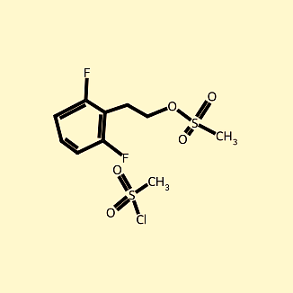 CS(=O)(=O)Cl.CS(=O)(=O)OCCc1c(F)cccc1F